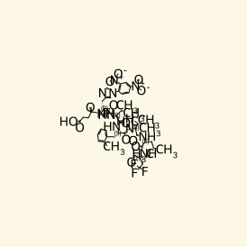 Cc1ccccc1C[C@H](NC(=O)[C@H](NC(=O)[C@@H](Cc1cn(-c2ccc([N+](=O)[O-])cc2[N+](=O)[O-])cn1)NC(=O)CCC(=O)O)C(C)C)C(=O)N[C@H](C(=O)N[C@@H](CC(C)C)C(=O)N[C@H](C=O)CC(F)(F)F)C(C)(C)C